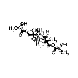 CN(O)C(=O)OCC(C)(C)[Si](C)(C)O[Si](C)(C)C(C)(C)COC(=O)N(C)O